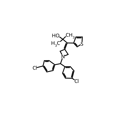 CC(C)(O)C(=C1CN(C(c2ccc(Cl)cc2)c2ccc(Cl)cc2)C1)c1ccsc1